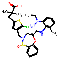 CCN(N)c1cccc(C)c1NC[C@@H]1CN(Cc2cc(CC(C)(C)C(=O)O)sc2Cl)[S+]([O-])c2ccccc2O1